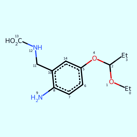 CCOC(CC)Oc1ccc(N)c(CNC(=O)O)c1